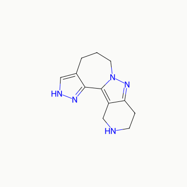 c1[nH]nc2c1CCCn1nc3c(c1-2)CNCC3